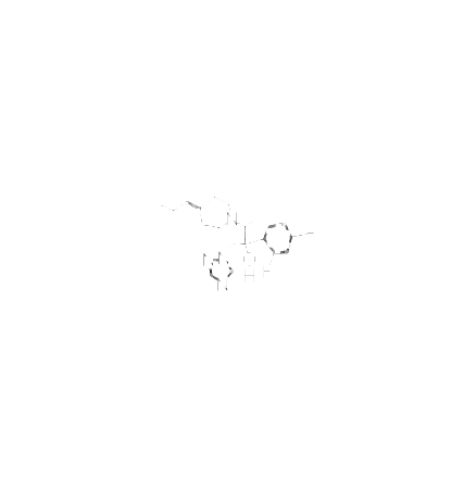 CCC=C1CCN(C(C)C(O)(Cn2cncn2)c2ccc(F)cc2F)CC1